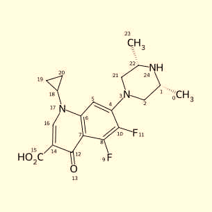 C[C@@H]1CN(c2cc3c(c(F)c2F)c(=O)c(C(=O)O)cn3C2CC2)C[C@H](C)N1